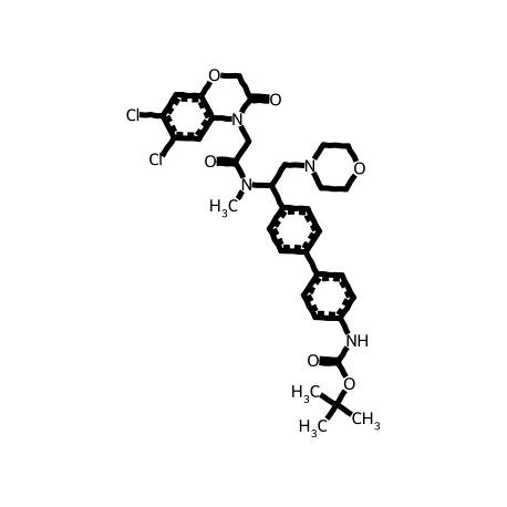 CN(C(=O)CN1C(=O)COc2cc(Cl)c(Cl)cc21)C(CN1CCOCC1)c1ccc(-c2ccc(NC(=O)OC(C)(C)C)cc2)cc1